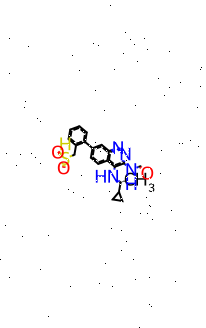 C[C@@H](Nc1c(NC=O)nnc2cc(-c3ccccc3C[SH](=O)=O)ccc12)C1CC1